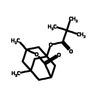 CC12CC3CC(OC(=O)C(C)(C)C)(C1)CC(C)(C2)OC3=O